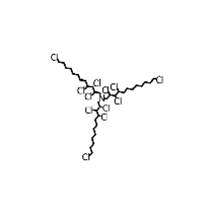 ClCCCCCCCCC(Cl)C(Cl)C(Cl)CN(CC(Cl)C(Cl)C(Cl)CCCCCCCCCl)CC(Cl)C(Cl)C(Cl)CCCCCCCCCl